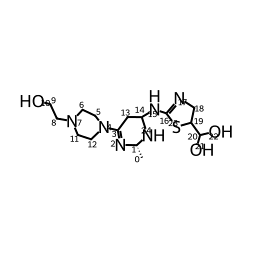 C[C@@H]1N=C(N2CCN(CCO)CC2)CC(NC2=NCC(C(O)O)S2)N1